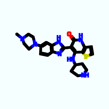 CN1CCN(c2ccc3nc(-c4c(NC5CCNCC5)c5sccc5[nH]c4=O)[nH]c3c2)CC1